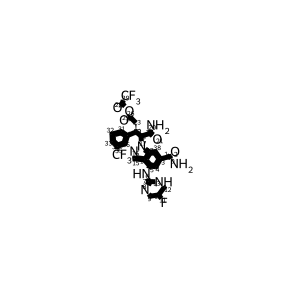 NC(=O)c1cc(NC2=NCC(F)CN2)c2cnn(C(C(N)=O)[C@@H](CC(=O)OC(=O)C(F)(F)F)c3cccc(C(F)(F)F)c3)c2c1